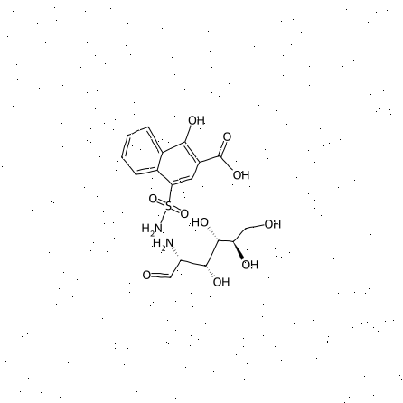 NS(=O)(=O)c1cc(C(=O)O)c(O)c2ccccc12.N[C@@H](C=O)[C@@H](O)[C@H](O)[C@H](O)CO